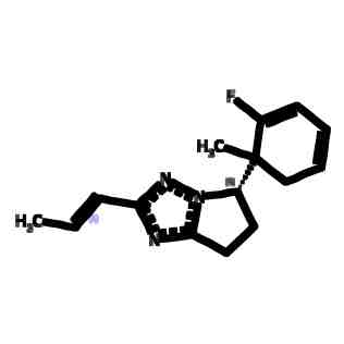 C/C=C/c1nc2n(n1)[C@H](C1(C)CC=CC=C1F)CC2